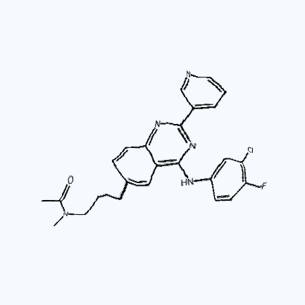 CC(=O)N(C)CCCc1ccc2nc(-c3cccnc3)nc(Nc3ccc(F)c(Cl)c3)c2c1